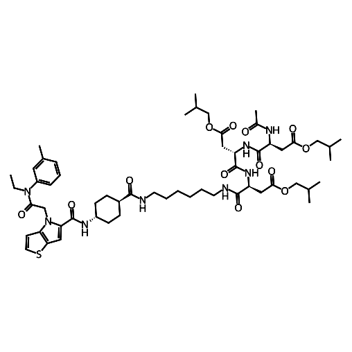 CCN(C(=O)Cn1c(C(=O)N[C@H]2CC[C@H](C(=O)NCCCCCCNC(=O)[C@H](CC(=O)OCC(C)C)NC(=O)[C@H](CC(=O)OCC(C)C)NC(=O)[C@H](CC(=O)OCC(C)C)NC(C)=O)CC2)cc2sccc21)c1cccc(C)c1